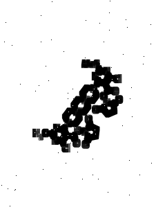 CSc1nc(Cl)c(C(=O)ON2C(=O)CCC2=O)c(N2CC[N+]3(CC2)CC[N+]2(CCN(c4nc(C)nc(Cl)c4C(=O)ON4C(=O)CCC4=O)CC2)CC3)n1